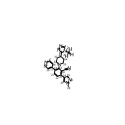 [2H]C([2H])([2H])n1cnnc1C1CCN(c2c(-c3ccnnc3)ccc(-c3cnn(C)c3)c2C#N)CC1